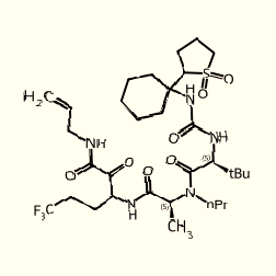 C=CCNC(=O)C(=O)C(CCC(F)(F)F)NC(=O)[C@H](C)N(CCC)C(=O)[C@@H](NC(=O)NC1(C2CCCS2(=O)=O)CCCCC1)C(C)(C)C